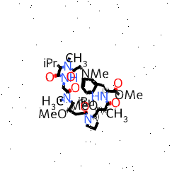 CC[C@H](C)C([C@@H](CC(=O)N1CCC[C@H]1[C@H](OC)[C@@H](C)C(=O)N[C@@H](Cc1ccccc1)C(=O)OC)OC)N(C)C(=O)CNC(=O)C(C(C)C)N(C)C(=O)CNC